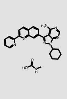 CNC(=O)O.Nc1ncnc2c1c(-c1ccc3ccc(-c4ccccn4)nc3c1)nn2C1CCCCC1